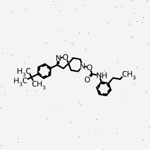 CCCc1ccccc1NC(=O)ON1CCC2(CC1)CC(c1ccc(C(C)(C)C)cc1)=NO2